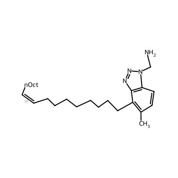 CCCCCCCC/C=C\CCCCCCCCc1c(C)ccc2c1nnn2CN